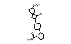 CCC1C(N2CCC([C@@H]3CCCN3C(=O)NC)CC2)CC12CCN(C(=O)O)C2